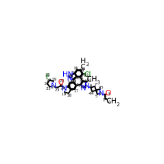 C=CC(=O)N1CC2(CC(n3nc(-c4ccc5c(c4)CCN5C(=O)CN4CC[C@H](F)C4)c(-c4c(Cl)c(C)cc5[nH]ncc45)c3C)C2)C1